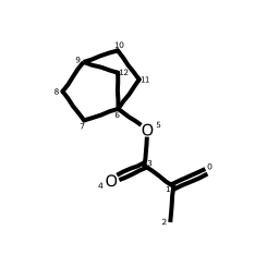 C=C(C)C(=O)OC12CCC(CC1)C2